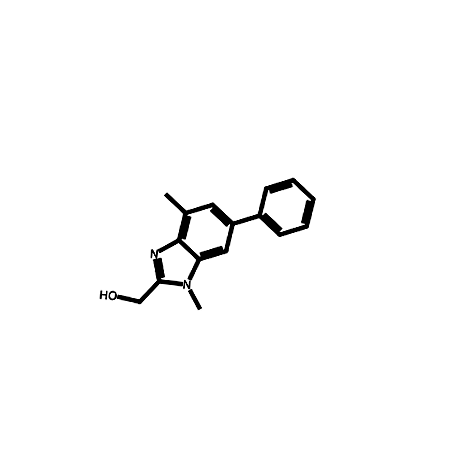 Cc1cc(-c2ccccc2)cc2c1nc(CO)n2C